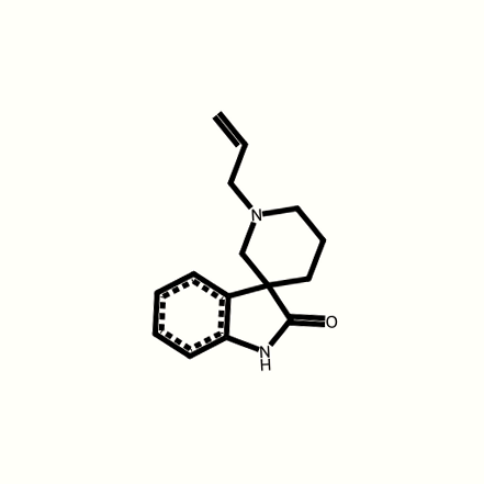 C=CCN1CCCC2(C1)C(=O)Nc1ccccc12